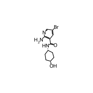 Nc1ncc(Br)cc1C(=O)N[C@H]1CC[C@H](O)CC1